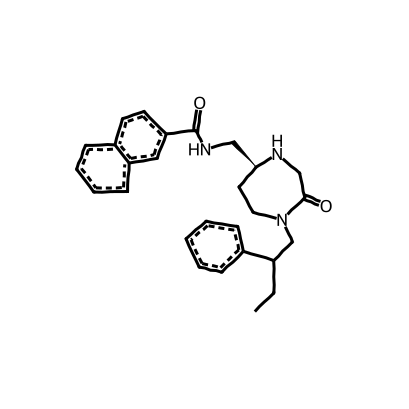 CCC(CN1CC[C@@H](CNC(=O)c2ccc3ccccc3c2)NCC1=O)c1ccccc1